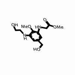 COC(=O)CNc1cc(CO)cc(NCCO)c1OC